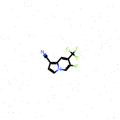 N#Cc1ccn2cc(F)c(C(F)(F)F)cc12